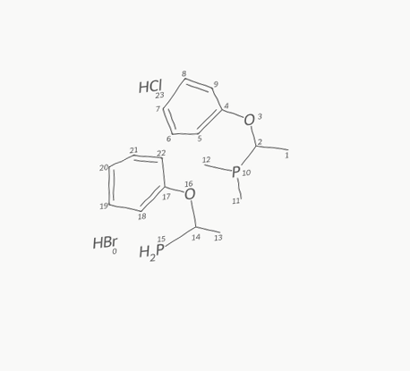 Br.CC(Oc1ccccc1)P(C)C.CC(P)Oc1ccccc1.Cl